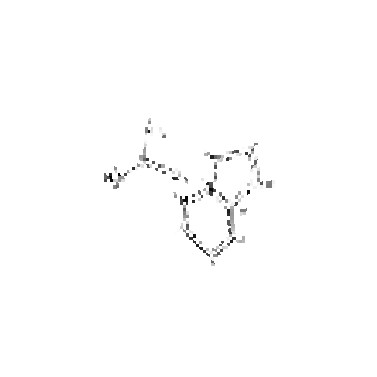 NC(N)=O.c1cnn2ccnc2c1